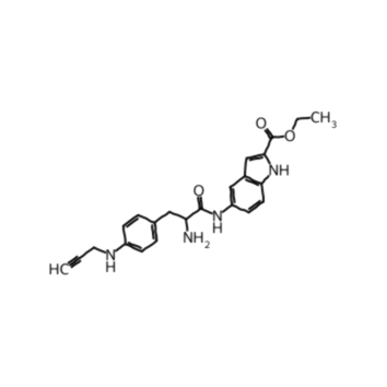 C#CCNc1ccc(CC(N)C(=O)Nc2ccc3[nH]c(C(=O)OCC)cc3c2)cc1